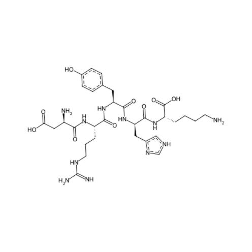 N=C(N)NCCC[C@H](NC(=O)[C@H](N)CC(=O)O)C(=O)N[C@@H](Cc1ccc(O)cc1)C(=O)N[C@H](Cc1c[nH]cn1)C(=O)N[C@@H](CCCCN)C(=O)O